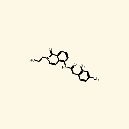 O=C(Cc1ccc(C(F)(F)F)cc1C(F)(F)F)Nc1cccc2c(=O)n(CCO)ccc12